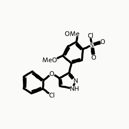 COc1cc(OC)c(S(=O)(=O)Cl)cc1-c1n[nH]cc1Oc1ccccc1Cl